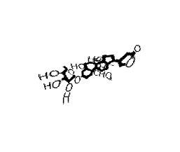 CC1O[C@@H](O[C@H]2CC[C@]3(C=O)[C@H]4CC[C@]5(C)C(C6=CC(=O)OC6)CC[C@]5(O)[C@@H]4CC[C@]3(O)C2)[C@@H](O)C(O)[C@H]1O